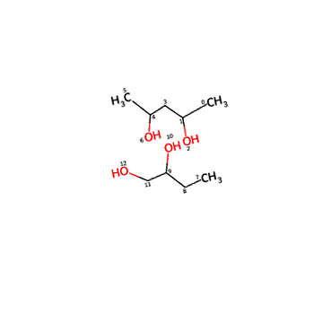 CC(O)CC(C)O.CCC(O)CO